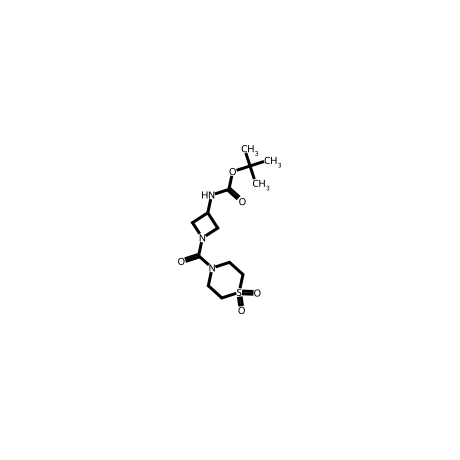 CC(C)(C)OC(=O)NC1CN(C(=O)N2CCS(=O)(=O)CC2)C1